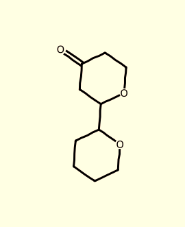 O=C1CCOC(C2CCCCO2)C1